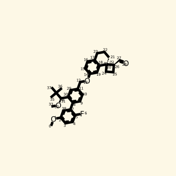 COc1ccc(F)c(-c2ccc(COc3ccc4c(c3)[C@]3(CCC4)CC[C@@H]3C=O)cc2[C@@H](OC)C(C)(C)C)c1